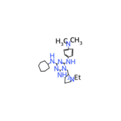 CCN1CCCC1CN1C(Nc2ccc(N(C)C)cc2)=NC(NC2CCCCCC2)=NC1N